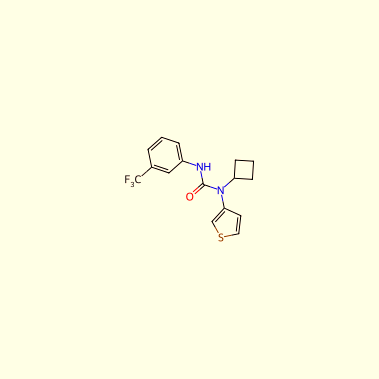 O=C(Nc1cccc(C(F)(F)F)c1)N(c1ccsc1)C1CCC1